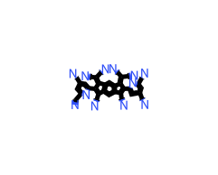 N#CC(C#N)=C1C(c2cc(C#N)cc(C#N)n2)=C(C#N)c2cc3c(cc21)C(=C(C#N)C#N)C(c1cc(C#N)cc(C#N)n1)=C3C#N